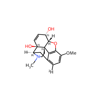 [2H]c1cc(OC)c2c3c1C[C@H]1N(C)CC[C@@]34[C@@H](O2)[C@@H](O)C=C[C@@]14O